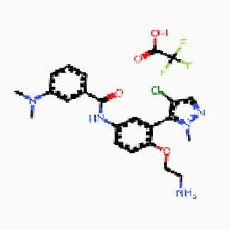 CN(C)c1cccc(C(=O)Nc2ccc(OCCN)c(-c3c(Cl)cnn3C)c2)c1.O=C(O)C(F)(F)F